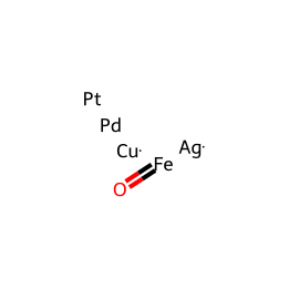 [Ag].[Cu].[O]=[Fe].[Pd].[Pt]